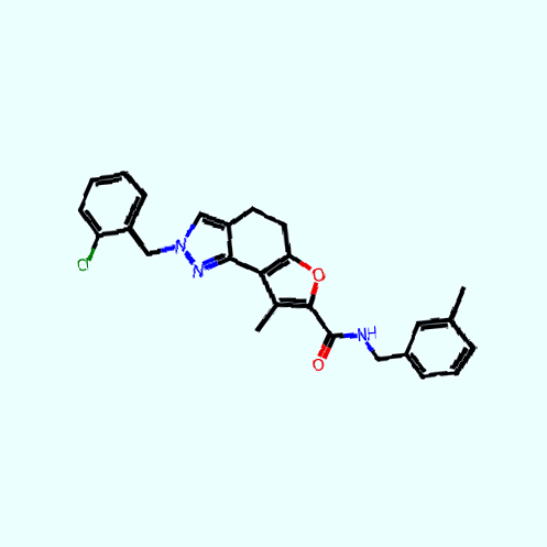 Cc1cccc(CNC(=O)c2oc3c(c2C)-c2nn(Cc4ccccc4Cl)cc2CC3)c1